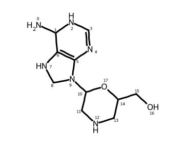 NC1NC=NC2=C1NCN2C1CNCC(CO)O1